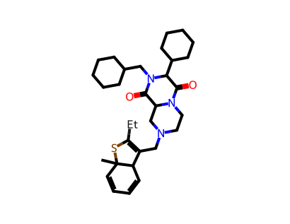 CCC1=C(CN2CCN3C(=O)C(C4CCCCC4)N(CC4CCCCC4)C(=O)C3C2)C2C=CC=CC2(C)S1